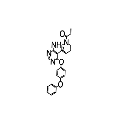 C=CC(=O)N1CCC=C(c2c(N)ncnc2Oc2ccc(Oc3ccccc3)cc2)C1